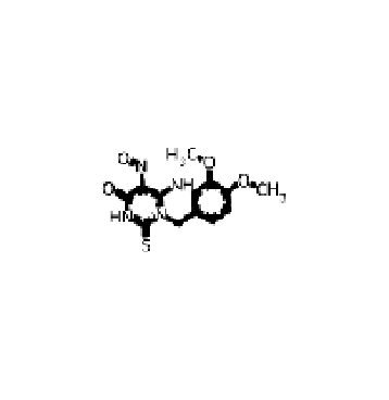 COc1ccc(Cn2c(N)c(N=O)c(=O)[nH]c2=S)cc1OC